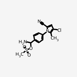 Cc1c(Cl)cc(C#N)n1-c1ccc(C(N)OS(C)(=O)=O)cc1